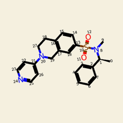 C[C@@H](c1ccccc1)N(C)S(=O)(=O)c1ccc2c(c1)CN(c1ccncc1)CC2